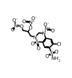 NS(=O)(=O)c1cc2c(cc1Cl)N([N+](=O)[O-])CN(CC(CO[N+](=O)[O-])O[N+](=O)[O-])S2(=O)=O